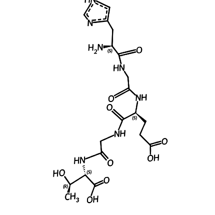 C[C@@H](O)[C@H](NC(=O)CNC(=O)[C@H](CCC(=O)O)NC(=O)CNC(=O)[C@@H](N)Cc1c[nH]cn1)C(=O)O